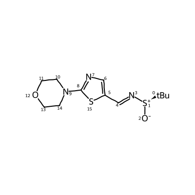 CC(C)(C)[S@@+]([O-])/N=C/c1cnc(N2CCOCC2)s1